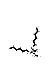 CCCCCCOP(=O)(OF)OCCCCCC